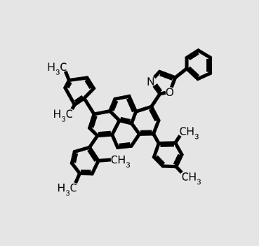 Cc1ccc(-c2cc(-c3ncc(-c4ccccc4)o3)c3ccc4c(-c5ccc(C)cc5C)cc(-c5ccc(C)cc5C)c5ccc2c3c45)c(C)c1